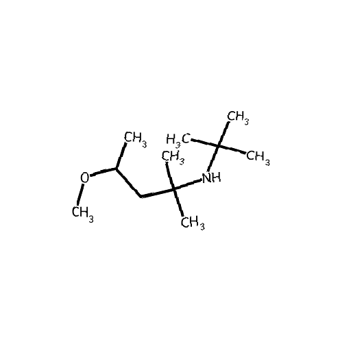 COC(C)CC(C)(C)NC(C)(C)C